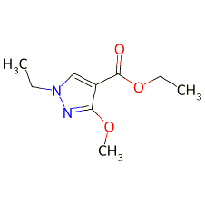 CCOC(=O)c1cn(CC)nc1OC